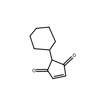 O=C1C=CC(=O)C1C1CCCCC1